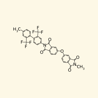 Cc1ccc(-c2ccc(N3C(=O)c4ccc(Oc5ccc6c(c5)C(=O)N(C)C6=O)cc4C3=O)cc2C(F)(F)F)c(C(F)(F)F)c1